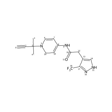 C#CC(C)(C)N1C=CC(NC(=O)Cc2c[nH]nc2C(F)(F)F)=CC1